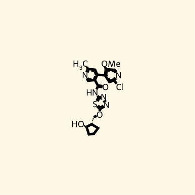 COc1cnc(Cl)cc1-c1cc(C)ncc1C(=O)Nc1nnc(OC[C@@H]2CCC[C@H]2O)s1